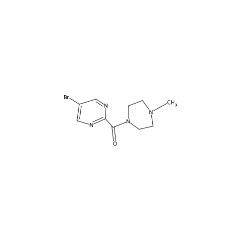 CN1CCN(C(=O)c2ncc(Br)cn2)CC1